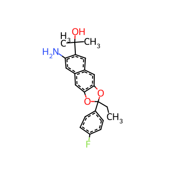 CCC1(c2ccc(F)cc2)Oc2cc3cc(N)c(C(C)(C)O)cc3cc2O1